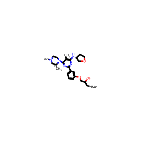 CNCC(O)COc1cccc(-c2nc(N[C@@H]3CCOC3)c(C)c(N3CCN(C(C)=O)C[C@H]3C)n2)c1